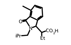 CCC(C(=O)O)C1c2cccc(C)c2C(=O)N1CC(C)C